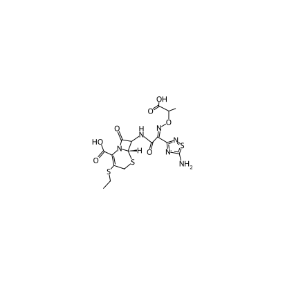 CCSC1=C(C(=O)O)N2C(=O)C(NC(=O)C(=NOC(C)C(=O)O)c3nsc(N)n3)[C@@H]2SC1